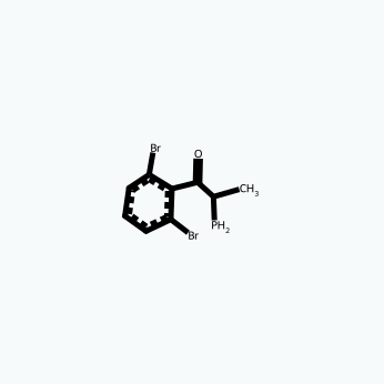 CC(P)C(=O)c1c(Br)cccc1Br